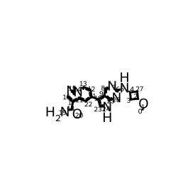 CO[C@H]1C[C@@H](Nc2ncc3c(-c4ccn5ncc(C(N)=O)c5c4)c[nH]c3n2)C1